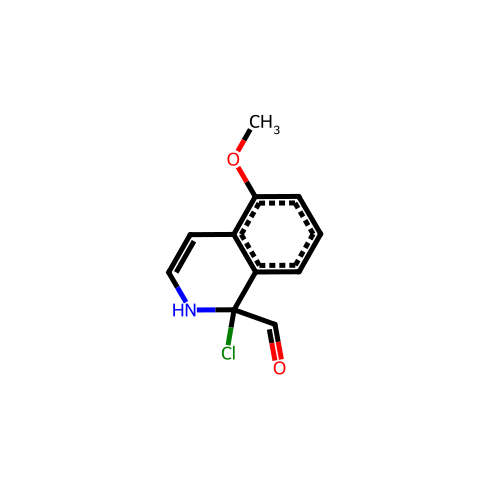 COc1cccc2c1C=CNC2(Cl)C=O